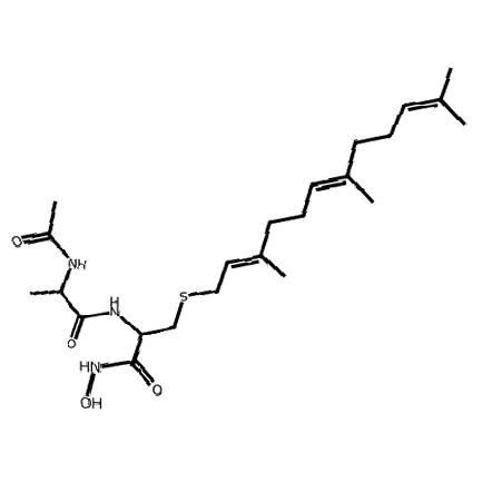 CC(=O)NC(C)C(=O)NC(CSC/C=C(\C)CC/C=C(\C)CCC=C(C)C)C(=O)NO